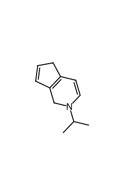 CC(C)N1C=CC2=C(C=CC2)C1